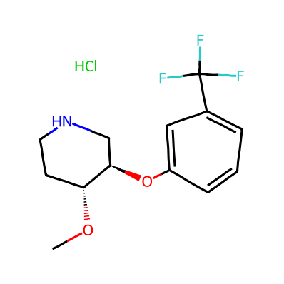 CO[C@@H]1CCNC[C@H]1Oc1cccc(C(F)(F)F)c1.Cl